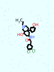 C=CCN1CCC2(c3cccc(O)c3)C[C@H](NC(=O)Cc3ccc(Cl)c(Cl)c3)CC(O)C2C1